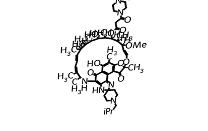 CO[C@H]1/C=C/O[C@@]2(C)Oc3c(C)c(O)c4c(c3C2=O)C2=NC3(CCN(CC(C)C)CC3)NC2=C(NC(C)/C(C)=C\C=C\[C@H](C)[C@H](O)[C@@H](C)[C@@H](O)[C@@H](C)[C@H](OC(=O)CC(=O)N2CCN(C)CC2)[C@@H]1C)C4=O